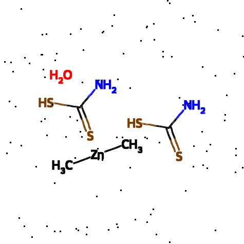 NC(=S)S.NC(=S)S.O.[CH3][Zn][CH3]